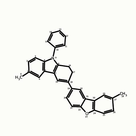 Cc1ccc2c(c1)c1c(n2-c2ccccc2)CCC(c2ccc3oc4ccc(C)cc4c3c2)=C1